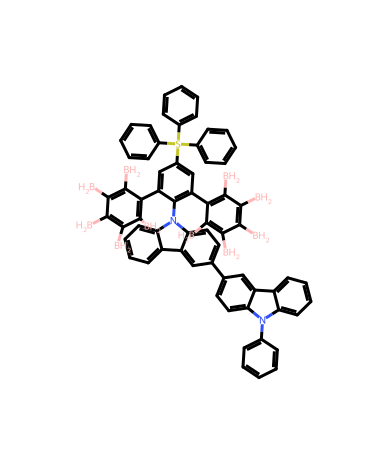 Bc1c(B)c(B)c(-c2cc(S(c3ccccc3)(c3ccccc3)c3ccccc3)cc(-c3c(B)c(B)c(B)c(B)c3B)c2-n2c3ccccc3c3cc(-c4ccc5c(c4)c4ccccc4n5-c4ccccc4)ccc32)c(B)c1B